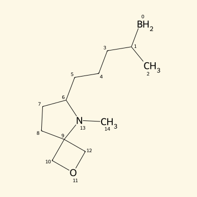 BC(C)CCCC1CCC2(COC2)N1C